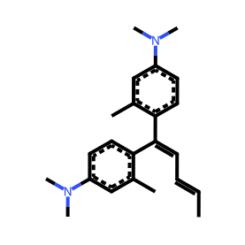 CC=CC=C(c1ccc(N(C)C)cc1C)c1ccc(N(C)C)cc1C